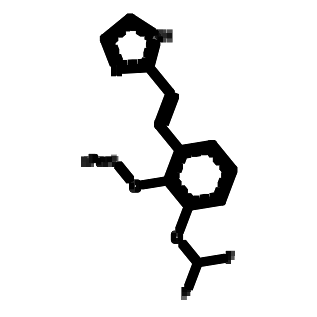 CCCCCOc1c(/C=C/c2ncc[nH]2)cccc1OC(F)F